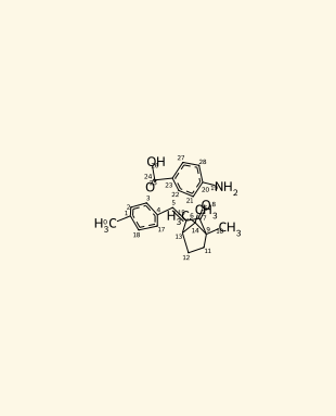 Cc1ccc(C=C2C(=O)C3(C)CCC2C3(C)C)cc1.Nc1ccc(C(=O)O)cc1